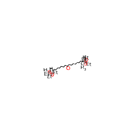 CCO[SiH](OCC)C(C)(CC)CCCCCCCC(=O)CCCCCCCC(C)(CC)[SiH](OCC)OCC